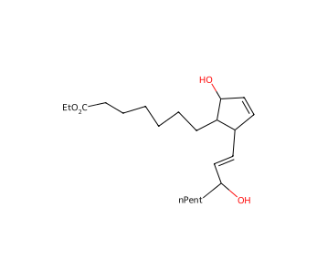 CCCCCC(O)C=CC1C=CC(O)C1CCCCCCC(=O)OCC